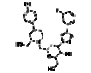 OCC1OC(CN2CCN(c3ccc(O)cc3)CC2CO)CC(n2cc(-c3cccc(F)c3)nn2)C1O